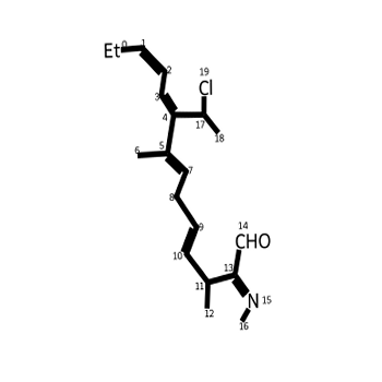 CC\C=C/C=C(/C(C)=C/C/C=C/C(C)/C(C=O)=N\C)C(C)Cl